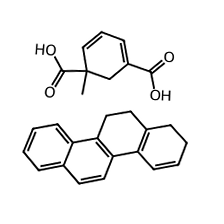 C1=CC2=C(CC1)CCc1c2ccc2ccccc12.CC1(C(=O)O)C=CC=C(C(=O)O)C1